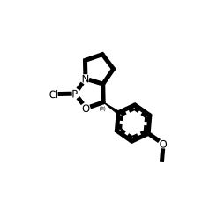 COc1ccc([C@H]2OP(Cl)N3CCCC23)cc1